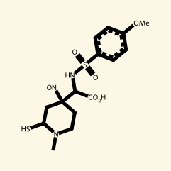 COc1ccc(S(=O)(=O)NC(C(=O)O)C2(N=O)CCN(C)C(S)C2)cc1